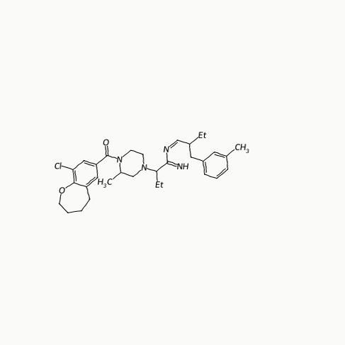 CCC(/C=N\C(=N)C(CC)N1CCN(C(=O)c2cc(Cl)c3c(c2)CCCCO3)C(C)C1)Cc1cccc(C)c1